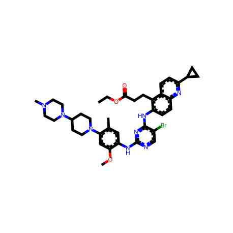 CCOC(=O)CCc1c(Nc2nc(Nc3cc(C)c(N4CCC(N5CCN(C)CC5)CC4)cc3OC)ncc2Br)ccc2nc(C3CC3)ccc12